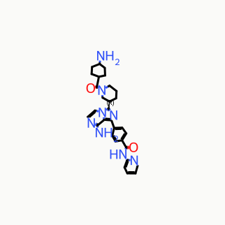 Nc1nccn2c([C@@H]3CCCN(C(=O)C4CCC(N)CC4)C3)nc(-c3ccc(C(=O)Nc4ccccn4)cc3)c12